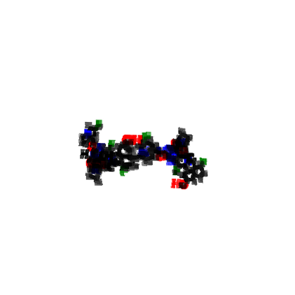 C#Cc1c(F)ccc2cc(O)cc(-c3ncc4c(N5CC6CCC(C5)N6S(N)(=O)=O)nc(OC[C@@]56CCC(c7cc(F)c(C#C)c8c(-c9ncc%10c(N%11CC%12CCC(C%11)N%12S(=O)(=O)N(C)C)nc(OC[C@@]%11%12CCCN%11C[C@H](F)C%12)nc%10c9F)cc(O)cc78)N5C[C@H](F)C6)nc4c3F)c12